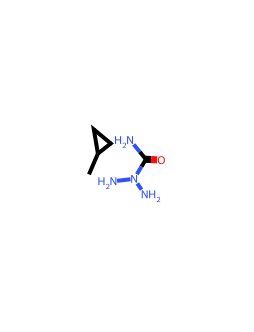 CC1CC1.NC(=O)N(N)N